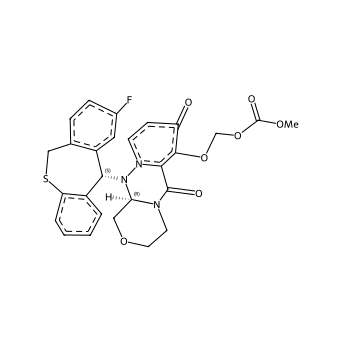 COC(=O)OCOc1c2n(ccc1=O)N([C@H]1c3cc(F)ccc3CSc3ccccc31)[C@@H]1COCCN1C2=O